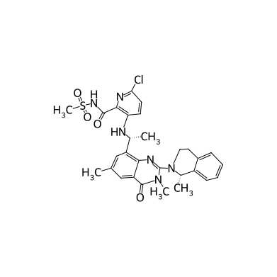 Cc1cc([C@@H](C)Nc2ccc(Cl)nc2C(=O)NS(C)(=O)=O)c2nc(N3CCc4ccccc4[C@@H]3C)n(C)c(=O)c2c1